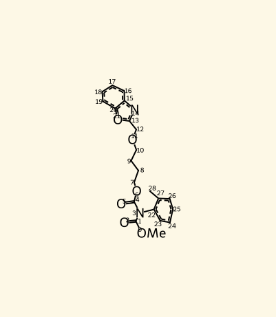 COC(=O)N(C(=O)OCCCCOCc1nc2ccccc2o1)c1ccccc1C